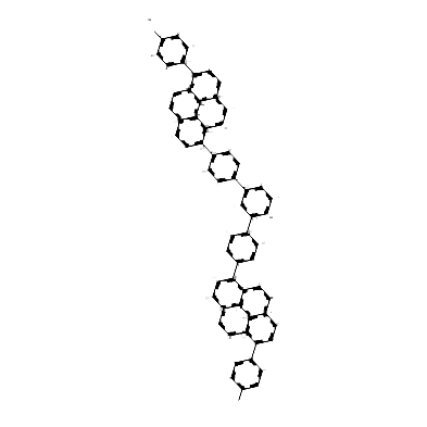 Fc1ccc(-c2ccc3ccc4c(-c5ccc(-c6cccc(-c7ccc(-c8ccc9ccc%10c(-c%11ccc(F)cc%11)ccc%11ccc8c9c%11%10)cc7)c6)cc5)ccc5ccc2c3c54)cc1